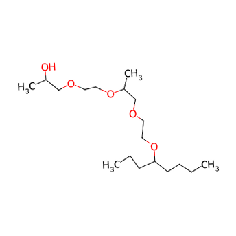 CCCCC(CCC)OCCOCC(C)OCCOCC(C)O